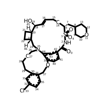 O=C1NS(=O)(=O)[C@@H](CC2CCOCC2)CC/C=C/[C@H](O)[C@@H]2CC[C@H]2CN2CCCCc3cc(Cl)ccc3COc3ccc1cc32